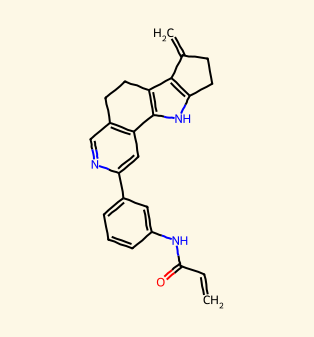 C=CC(=O)Nc1cccc(-c2cc3c(cn2)CCc2c-3[nH]c3c2C(=C)CC3)c1